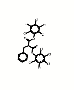 O=C(Oc1c(Cl)c(Cl)c(Cl)c(Cl)c1Cl)C(Cc1ccccc1)C(=O)Oc1c(Cl)c(Cl)c(Cl)c(Cl)c1Cl